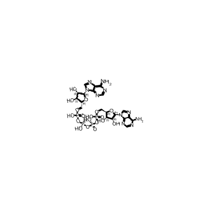 Nc1ncnc2c1ncn2[C@@H]1O[C@H](COP(=O)(O)OP(=O)(O)OP(=O)(O)OP(=O)(O)OC[C@H]2O[C@@H](n3cnc4c(N)ncnc43)[C@H](O)[C@@H]2O)[C@@H](O)[C@H]1O